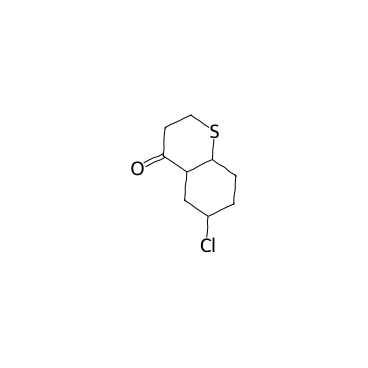 O=C1CCSC2CCC(Cl)CC12